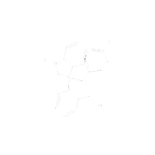 C=Cc1cccc2c1[N+](Cc1ccc(F)cc1)(c1ccccc1)C(N)S2.[Br-]